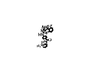 CN1CCC[C@@H]1CNC(=O)c1ccc(Nc2nc(N)c(C(=O)c3c(F)cccc3F)s2)cc1